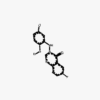 CCSc1ccc(Cl)cc1Nn1cnc2ccc(F)cc2c1=O